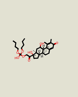 CCCCOC(O)(OCCCC)OCC(=O)[C@@]1(O)CC[C@H]2[C@@H]3CCC4=CC(=O)C(C)=C(C)[C@]4(C)[C@H]3C(O)C[C@@]21C